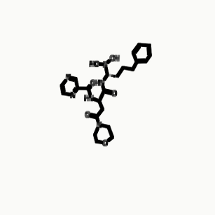 O=C(NC(CC(=O)N1CCOCC1)C(=O)N[C@@H](CCCc1ccccc1)B(O)O)c1cnccn1